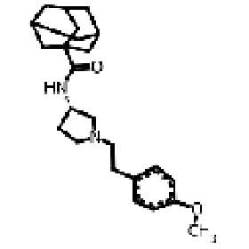 COc1ccc(CCN2CC[C@H](NC(=O)C34CC5CC(CC(C5)C3)C4)C2)cc1